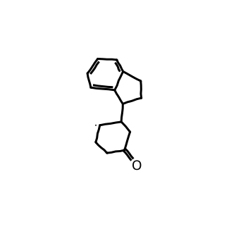 O=C1CC[CH]C(C2CCc3ccccc32)C1